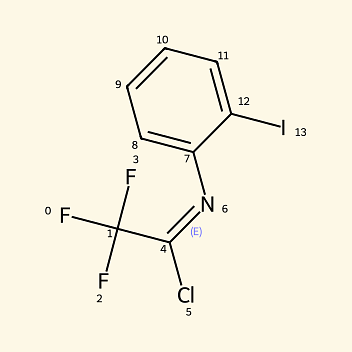 FC(F)(F)/C(Cl)=N\c1ccccc1I